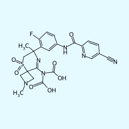 CN1CC2(C1)C(N(C(=O)O)C(=O)O)=NC(C)(c1cc(NC(=O)c3ccc(C#N)cn3)ccc1F)CS2(=O)=O